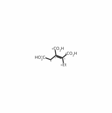 CCC(C(=O)O)=C(CC(=O)O)C(=O)O